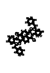 O=C1c2ccc3c4c(ccc(c24)C(=O)N1c1ncccc1OCc1ccccc1)C(=O)N(c1ncccc1OCc1ccccc1)C3=O